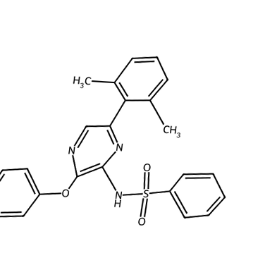 Cc1cccc(C)c1-c1cnc(Oc2ccccc2)c(NS(=O)(=O)c2ccccc2)n1